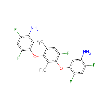 Nc1cc(Oc2c(F)cc(C(F)(F)F)c(Oc3cc(N)c(F)cc3F)c2C(F)(F)F)c(F)cc1F